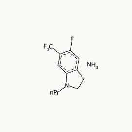 CCCN1CCc2cc(F)c(C(F)(F)F)cc21.N